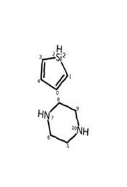 C1=C[SiH2]C=C1.C1CNCCN1